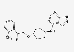 Cc1ccccc1C(F)CO[C@H]1CC[C@H](Nc2ncnc3[nH]ncc23)CC1